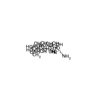 CC(=O)N[C@H]1C(O)[C@@H](O)C(CO)O[C@H]1O[C@@H]1C(O)[C@@H](O[C@H]2C(CO)O[C@@H](O[C@@H]3C(CN=[N+]=[N-])O[C@@H](OCCCCCN)[C@@H](O)C3O)[C@@H](O)C2O)OC(CO)[C@@H]1O